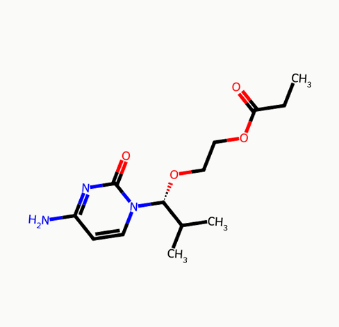 CCC(=O)OCCO[C@H](C(C)C)n1ccc(N)nc1=O